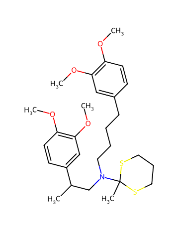 COc1ccc(CCCCN(CC(C)c2ccc(OC)c(OC)c2)C2(C)SCCCS2)cc1OC